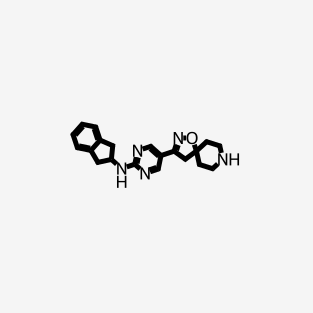 c1ccc2c(c1)CC(Nc1ncc(C3=NOC4(CCNCC4)C3)cn1)C2